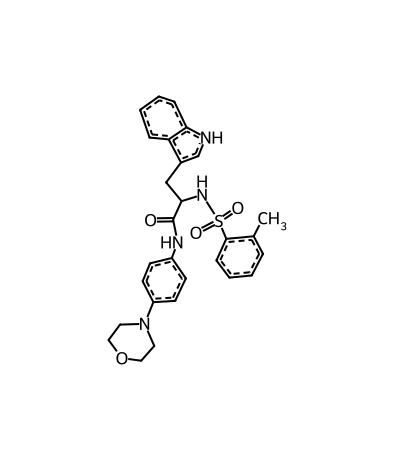 Cc1ccccc1S(=O)(=O)NC(Cc1c[nH]c2ccccc12)C(=O)Nc1ccc(N2CCOCC2)cc1